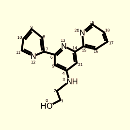 OCCNc1cc(-c2ccccn2)nc(-c2ccccn2)c1